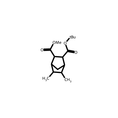 COC(=O)C1C2CC(C(C)C2C)C1C(=O)OC(C)(C)C